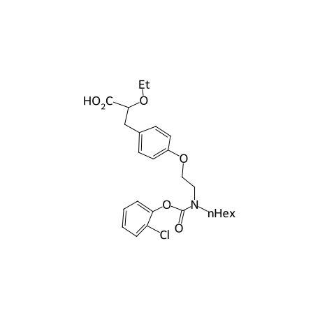 CCCCCCN(CCOc1ccc(CC(OCC)C(=O)O)cc1)C(=O)Oc1ccccc1Cl